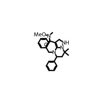 CON(C)C(=O)C1=C2N(Cc3ccccc3)C(c3ccccc3)CC(C)(C)N2NC1